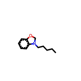 CCCCCN1COc2ccccc21